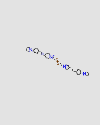 C(=C\c1cc[n+](CCSSCC[n+]2ccc(CCc3ccc(N4CCCC4)cc3)cc2)cc1)/c1ccc(N2CCCC2)cc1